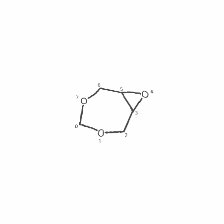 C1OCC2OC2CO1